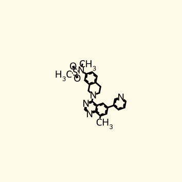 Cc1cc(-c2cccnc2)cc2c(N3CCc4ccc(N(C)S(C)(=O)=O)cc4C3)ncnc12